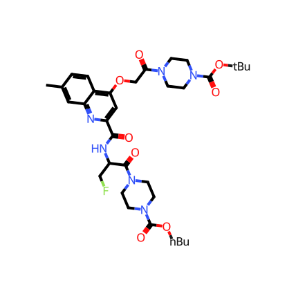 CCCCOC(=O)N1CCN(C(=O)C(CF)NC(=O)c2cc(OCC(=O)N3CCN(C(=O)OC(C)(C)C)CC3)c3ccc(C)cc3n2)CC1